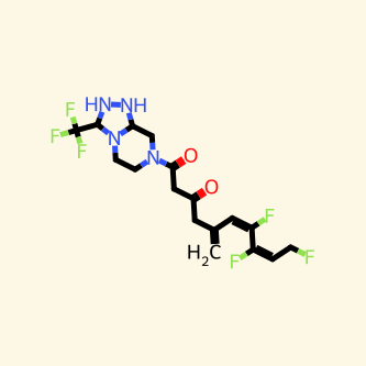 C=C(/C=C(F)\C(F)=C/CF)CC(=O)CC(=O)N1CCN2C(C1)NNC2C(F)(F)F